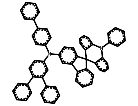 c1ccc(-c2ccc(N(c3ccc(-c4ccccc4)c(-c4ccccc4)c3)c3ccc4c(c3)-c3ccccc3C43c4ccccc4N(c4ccccc4)c4ccccc43)cc2)cc1